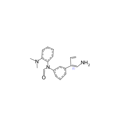 C=C/C(=C\N)c1cccc(N(C=O)c2ccccc2N(C)C)c1